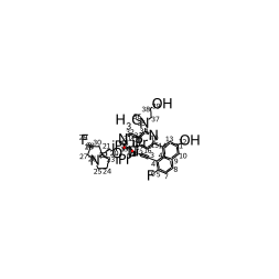 CC(C)[Si](C#Cc1c(F)ccc2cc(O)cc(-c3cc4nc(OC[C@@]56CCCN5C[C@H](F)C6)ncc4c(N(C)CCO)n3)c12)(C(C)C)C(C)C